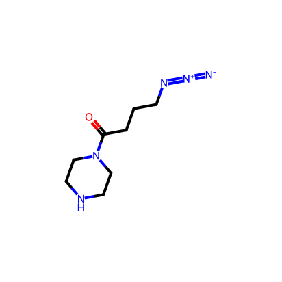 [N-]=[N+]=NCCCC(=O)N1CCNCC1